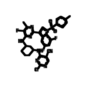 Cc1ccc(S(=O)(=O)n2cc(-c3nc(C)c(F)c(NC4CCCC(Nc5nc(Cl)ncc5C#N)C4)n3)c3cc(F)cc(F)c32)cc1